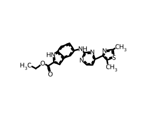 CCOC(=O)c1cc2cc(Nc3nccc(-c4nc(C)sc4C)n3)ccc2[nH]1